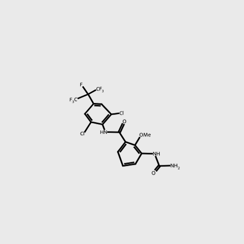 COc1c(NC(N)=O)cccc1C(=O)Nc1c(Cl)cc(C(F)(C(F)(F)F)C(F)(F)F)cc1Cl